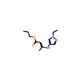 CCCOC(=O)C=C(C)Nc1cnn(CC)c1